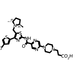 C[C@@H]1CC[C@@H](C)N1Cc1sc(NC(=O)c2cnc(N3CCN(CCC(=O)O)CC3)cn2)nc1-c1cc(Cl)cs1